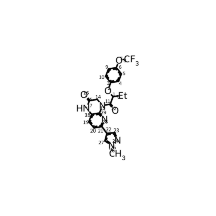 CCC(Oc1ccc(OC(F)(F)F)cc1)C(=O)N1CC(=O)Nc2ccc(-c3cnn(C)c3)nc21